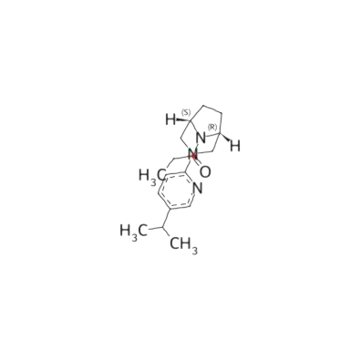 CCC(=O)N1[C@@H]2CC[C@H]1CN(c1ccc(C(C)C)cn1)C2